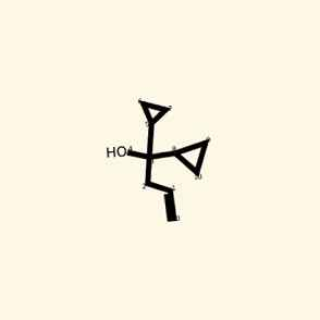 C=CCC(O)(C1CC1)C1CC1